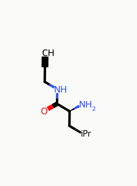 C#CCNC(=O)[C@@H](N)CC(C)C